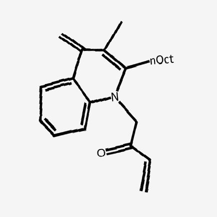 C=CC(=O)CN1C(CCCCCCCC)=C(C)C(=C)c2ccccc21